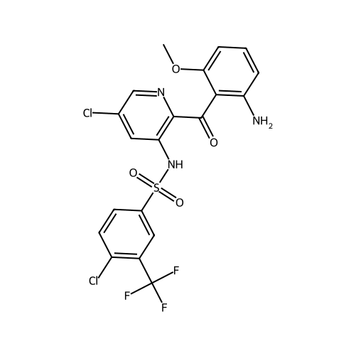 COc1cccc(N)c1C(=O)c1ncc(Cl)cc1NS(=O)(=O)c1ccc(Cl)c(C(F)(F)F)c1